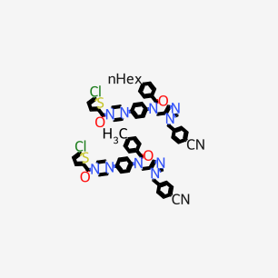 CCCCCCc1ccc(C(=O)N(Cc2cncn2Cc2ccc(C#N)cc2)c2ccc(N3CCN(C(=O)c4ccc(Cl)s4)CC3)cc2)cc1.Cc1ccc(C(=O)N(Cc2cncn2Cc2ccc(C#N)cc2)c2ccc(N3CCN(C(=O)c4ccc(Cl)s4)CC3)cc2)cc1